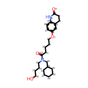 O=C1CCc2cc(OCCCCC(=O)N(CCCCO)CC3CCCCC3)ccc2N1